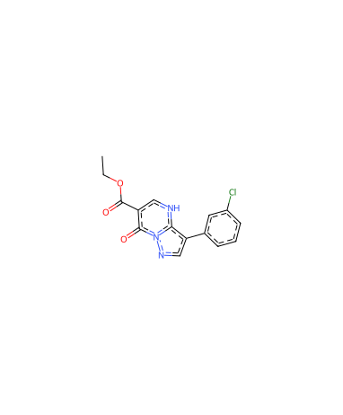 CCOC(=O)c1c[nH]c2c(-c3cccc(Cl)c3)cnn2c1=O